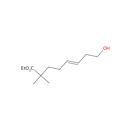 CCOC(=O)C(C)(C)CCC=CCCO